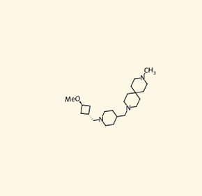 CO[C@H]1C[C@H](CN2CCC(CN3CCC4(CCN(C)CC4)CC3)CC2)C1